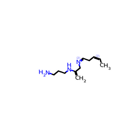 C=C(C/N=C\C/C=C\C)NCCCN